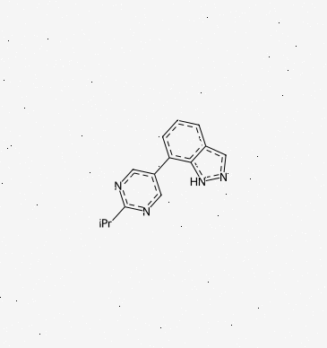 CC(C)c1ncc(-c2cccc3cn[nH]c23)cn1